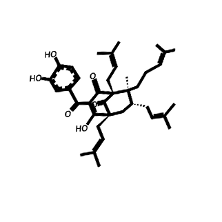 CC(C)=CCC[C@@]1(C)[C@H](CC=C(C)C)C[C@@]2(CC=C(C)C)C(=O)[C@]1(CC=C(C)C)C(=O)C(C(=O)c1ccc(O)c(O)c1)=C2O